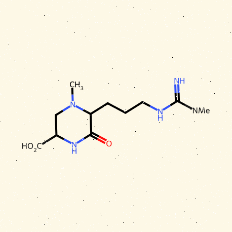 CNC(=N)NCCCC1C(=O)NC(C(=O)O)CN1C